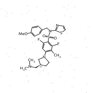 COc1ccc(CN(c2nccs2)S(=O)(=O)c2c(F)cc(N3CC[C@@H](CN(C)C)C3)c(C)c2F)cc1